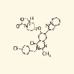 Cc1nc2cc(-c3cc4ccccn4n3)c(O[C@H]3CCN4C(=O)OC[C@@H]4C3)cc2c(=O)n1Cc1ccc(Cl)cc1